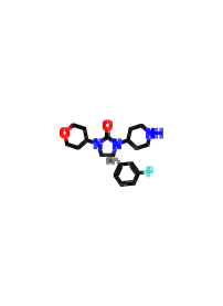 O=C1N(C2CCOCC2)C[C@@H](c2cccc(F)c2)N1C1CCNCC1